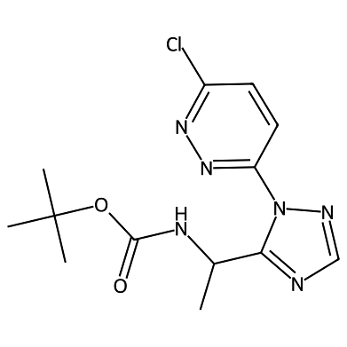 CC(NC(=O)OC(C)(C)C)c1ncnn1-c1ccc(Cl)nn1